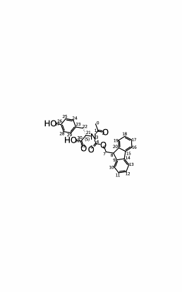 CC(=O)N(C(=O)OCC1c2ccccc2-c2ccccc21)[C@@H](Cc1ccc(O)cc1)C(=O)O